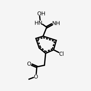 COC(=O)Cc1ccc(C(=N)NO)cc1Cl